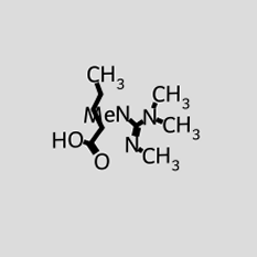 CCCCC(=O)O.CN=C(NC)N(C)C